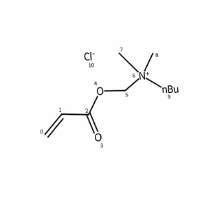 C=CC(=O)OC[N+](C)(C)CCCC.[Cl-]